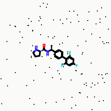 C[C@H](NC(=O)[C@@H]1CCCN1)c1ccc(-c2c(F)cc(F)cc2F)cc1